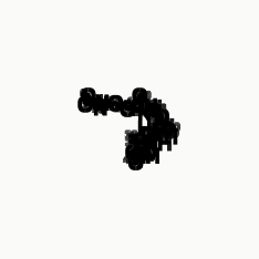 COC(=O)c1cnn(CCOCCOc2cc(Nc3cc(Oc4ccc(NC(=O)Nc5cc(C(C)(C)C)cc(NS(C)(=O)=O)c5OC)c5ccccc45)ccn3)cc(OC)c2)c1